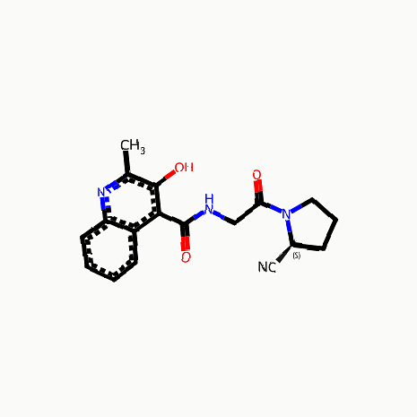 Cc1nc2ccccc2c(C(=O)NCC(=O)N2CCC[C@H]2C#N)c1O